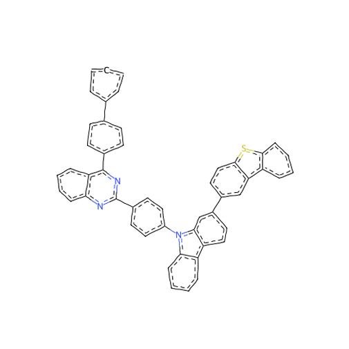 c1ccc(-c2ccc(-c3nc(-c4ccc(-n5c6ccccc6c6ccc(-c7ccc8sc9ccccc9c8c7)cc65)cc4)nc4ccccc34)cc2)cc1